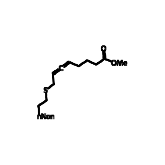 CCCCCCCCCCCSCC=C=CCCCC(=O)OC